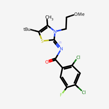 COCCn1c(C)c(C(C)(C)C)s/c1=N\C(=O)c1cc(F)c(Cl)cc1Cl